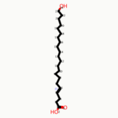 O=C(O)CC/C=C/CCCCCCCCCCCCCCCCCO